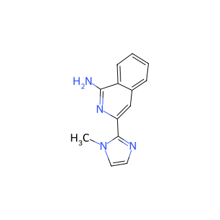 Cn1ccnc1-c1cc2ccccc2c(N)n1